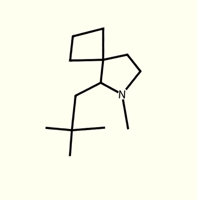 CN1CCC2(CCC2)C1CC(C)(C)C